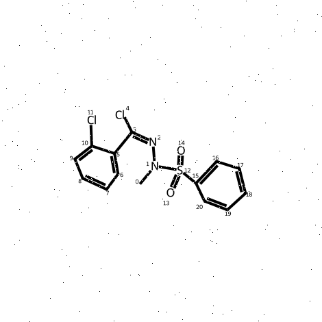 CN(/N=C(/Cl)c1ccccc1Cl)S(=O)(=O)c1ccccc1